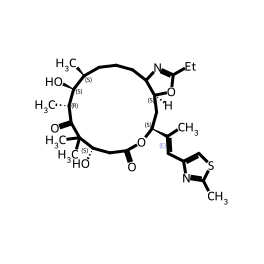 CCC1=NC2CCC[C@H](C)[C@H](O)[C@@H](C)C(=O)C(C)(C)[C@@H](O)CC(=O)O[C@H](/C(C)=C/c3csc(C)n3)C[C@@H]2O1